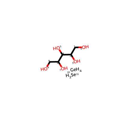 OCC(O)C(O)C(O)CO.[GeH4].[SeH2]